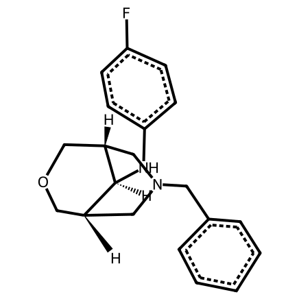 Fc1ccc(N[C@@H]2[C@@H]3COC[C@H]2CN(Cc2ccccc2)C3)cc1